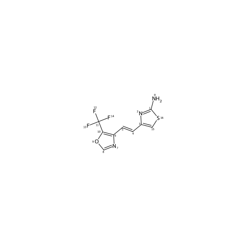 Nc1nc(/C=C/c2ncoc2C(F)(F)F)cs1